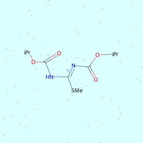 CS/C(=N\C(=O)OC(C)C)NC(=O)OC(C)C